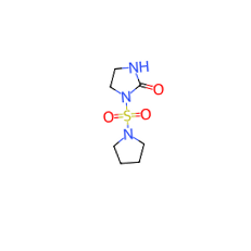 O=C1NCCN1S(=O)(=O)N1CCCC1